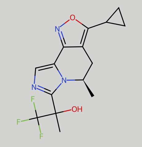 C[C@@H]1Cc2c(noc2C2CC2)-c2cnc(C(C)(O)C(F)(F)F)n21